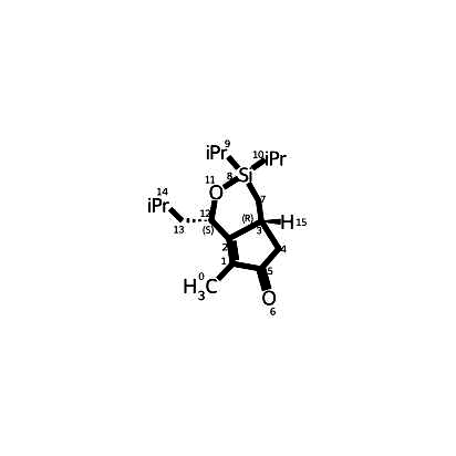 CC1=C2[C@@H](CC1=O)C[Si](C(C)C)(C(C)C)O[C@H]2CC(C)C